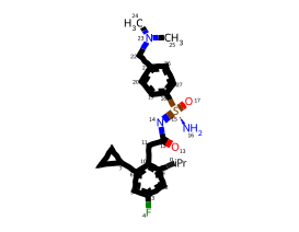 CC(C)c1cc(F)cc(C2CC2)c1CC(=O)N=[S@](N)(=O)c1ccc(CN(C)C)cc1